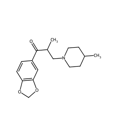 CC1CCN(CC(C)C(=O)c2ccc3c(c2)OCO3)CC1